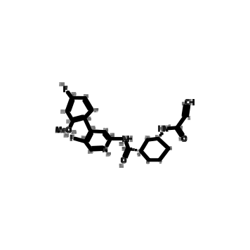 C#CC(=O)N[C@@H]1CCC[C@H](C(=O)Nc2cc(-c3ccc(F)cc3OC)c(F)cn2)C1